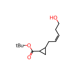 CC(C)(C)OC(=O)C1CC1C/C=C\CCO